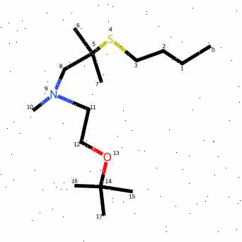 CCCCSC(C)(C)CN(C)CCOC(C)(C)C